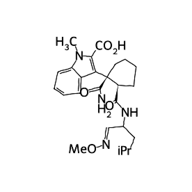 CON=CC(CC(C)C)NC(=O)[C@@H]1CCCC[C@@]1(C(N)=O)c1c(C(=O)O)n(C)c2ccccc12